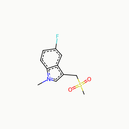 Cn1cc(CS(C)(=O)=O)c2cc(F)ccc21